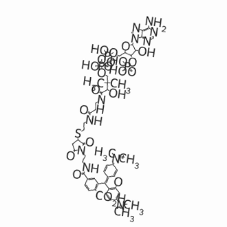 CN(C)c1ccc2c(-c3cc(C(=O)NCCN4C(=O)CC(SCCNC(=O)CCNC(=O)C(O)C(C)(C)COP(=O)(O)OP(=O)(O)OCC5OC(n6cnc7c(N)ncnc76)C(O)C5OP(=O)(O)O)C4=O)ccc3C(=O)O)c3ccc(=[N+](C)C)cc-3oc2c1